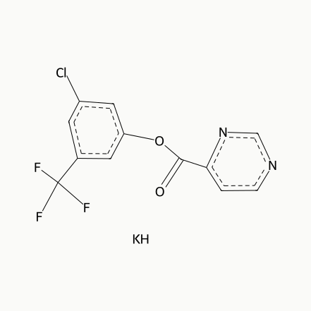 O=C(Oc1cc(Cl)cc(C(F)(F)F)c1)c1ccncn1.[KH]